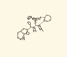 CCCC(C)c1ccccc1NC(=S)NC(=O)c1cc2cccnc2o1